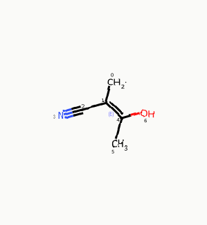 [CH2]/C(C#N)=C(/C)O